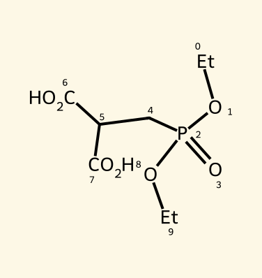 CCOP(=O)(CC(C(=O)O)C(=O)O)OCC